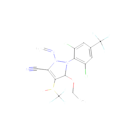 C=NN1C(C#N)=C([S+]([O-])C(F)(F)F)C(OCC)N1c1c(Cl)cc(C(F)(F)F)cc1Cl